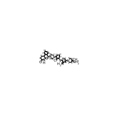 CC1(N)CCN(c2cnc(Sc3cccc(N4CCN(Cc5ccccc5C5CCC(=O)NC5=O)CC4)c3Cl)c(N)n2)CC1